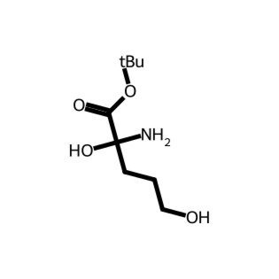 CC(C)(C)OC(=O)C(N)(O)CCCO